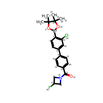 CC1(C)OB(c2ccc(-c3ccc(C(=O)N4CC(F)C4)cc3)cc2Cl)OC1(C)C